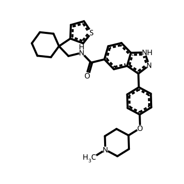 CN1CCC(Oc2ccc(-c3n[nH]c4ccc(C(=O)NCC5(c6ccsc6)CCCCC5)cc34)cc2)CC1